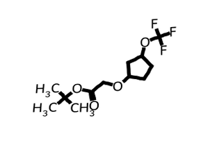 CC(C)(C)OC(=O)COC1CCC(OC(F)(F)F)C1